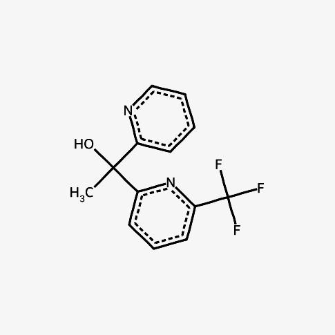 CC(O)(c1ccccn1)c1cccc(C(F)(F)F)n1